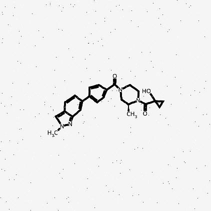 C[C@H]1CN(C(=O)c2ccc(-c3ccc4cn(C)nc4c3)cc2)CCN1C(=O)C1(O)CC1